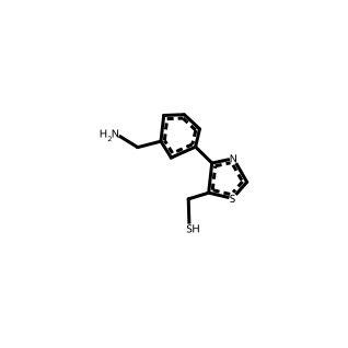 NCc1cccc(-c2ncsc2CS)c1